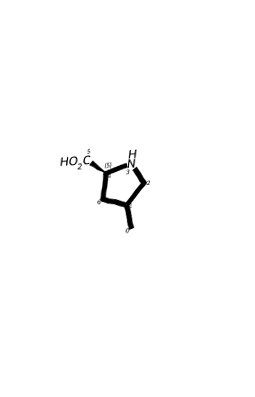 CC1CN[C@H](C(=O)O)C1